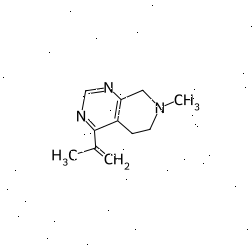 C=C(C)c1ncnc2c1CCN(C)C2